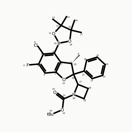 C[C@H]1c2c(cc(F)c(Cl)c2B2OC(C)(C)C(C)(C)O2)OC1(c1ccccc1)C1CCN1C(=O)OC(C)(C)C